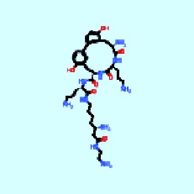 NCCC[C@H](NC(=O)[C@@H]1Cc2cc(ccc2O)-c2ccc(O)c(c2)C[C@H](N)C(=O)N[C@@H](CCCN)C(=O)N1)C(=O)NCCCC[C@H](N)CC(=O)NCCN